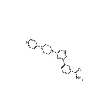 NC(=O)c1cccc(-c2cncc(N3CCN(c4ccncc4)CC3)n2)c1